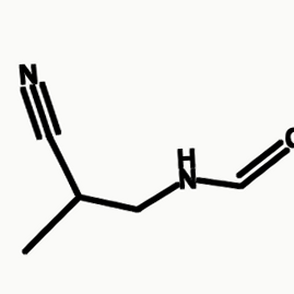 CC(C#N)CNC=O